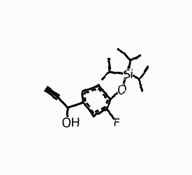 C#CC(O)c1ccc(O[Si](C(C)C)(C(C)C)C(C)C)c(F)c1